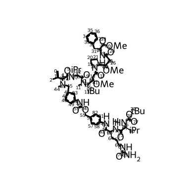 C=C(C)[C@@H](C(=O)N[C@H](C(=O)N(C)[C@@H]([C@@H](C)CC)[C@@H](CC(=O)N1CCC[C@H]1[C@H](OC)[C@@H](C)C(=O)N[C@@H](Cc1ccccc1)C(=O)OC)OC)C(C)C)N(C)Cc1cccc(NC(=O)OCc2ccc(NC(=O)[C@H](CCCNC(N)=O)NC(=O)[C@@H](NC(=O)OC(C)(C)C)C(C)C)cc2)c1